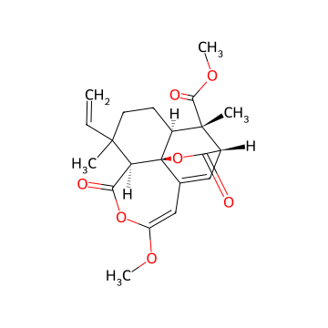 C=CC1(C)CC[C@H]2[C@](C)(C(=O)OC)[C@@H]3C=C4C=C(OC)OC(=O)[C@@H]1[C@@]42OC3=O